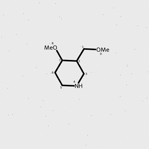 COCC1CNCCC1OC